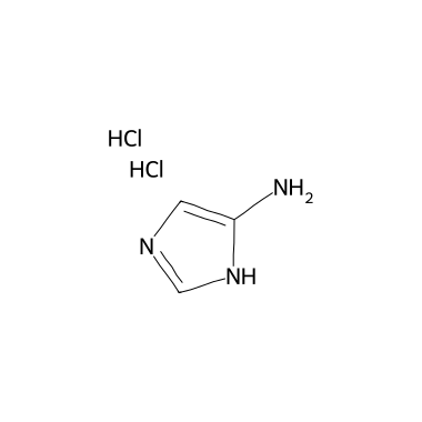 Cl.Cl.Nc1cnc[nH]1